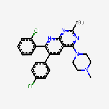 CN1CCN(c2nc(C(C)(C)C)nc3nc(-c4ccccc4Cl)c(-c4ccc(Cl)cc4)cc23)CC1